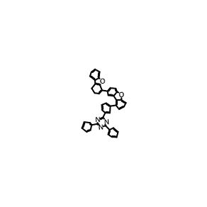 C1=C(c2ccc3oc4cccc(-c5cccc(-c6nc(-c7ccccc7)nc(-c7ccccc7)n6)c5)c4c3c2)c2oc3ccccc3c2CC1